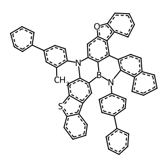 Cc1cc(-c2ccccc2)ccc1N1c2cc3sc4ccccc4c3cc2B2c3c1cc1oc4ccccc4c1c3-c1ccc3ccccc3c1N2c1ccc(-c2ccccc2)cc1